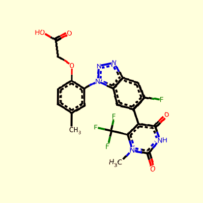 Cc1ccc(OCC(=O)O)c(-n2nnc3cc(F)c(-c4c(C(F)(F)F)n(C)c(=O)[nH]c4=O)cc32)c1